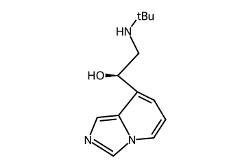 CC(C)(C)NC[C@H](O)c1cccn2cncc12